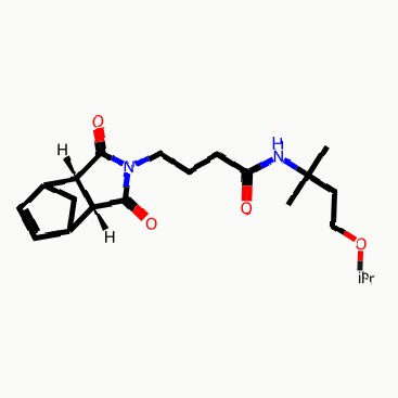 CC(C)OCCC(C)(C)NC(=O)CCCN1C(=O)[C@@H]2C3C=CC(C3)[C@@H]2C1=O